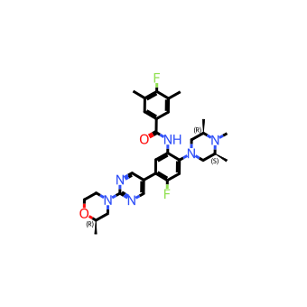 Cc1cc(C(=O)Nc2cc(-c3cnc(N4CCO[C@H](C)C4)nc3)c(F)cc2N2C[C@@H](C)N(C)[C@@H](C)C2)cc(C)c1F